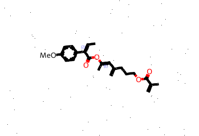 C=C(/C=C(\C)OC(=O)/C(=C\C)c1ccc(OC)cc1)CCCOC(=O)C(=C)C